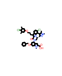 Cc1cc(OCCCc2c3n(c4c(-c5c(C)nn(C)c5C)c(Cl)ccc24)[C@H](C)CN(c2cc(OCc4ccccc4)cc4c2cc(C(=O)O)n4C)C3=O)cc(C)c1Cl